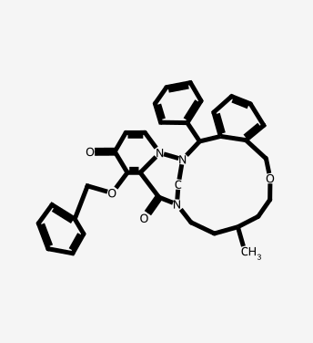 CC1CCOCc2ccccc2C(c2ccccc2)N2CN(CC1)C(=O)c1c(OCc3ccccc3)c(=O)ccn12